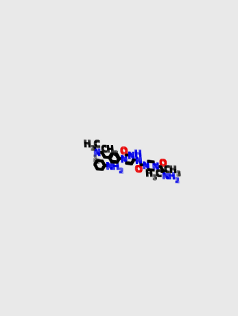 CCN(C[C@H]1CCCC(N)C1)C(C)Cc1ccc(-n2ccc(NC(=O)N3CCN(C(=O)C(C)(C)N)CC3)nc2=O)cc1